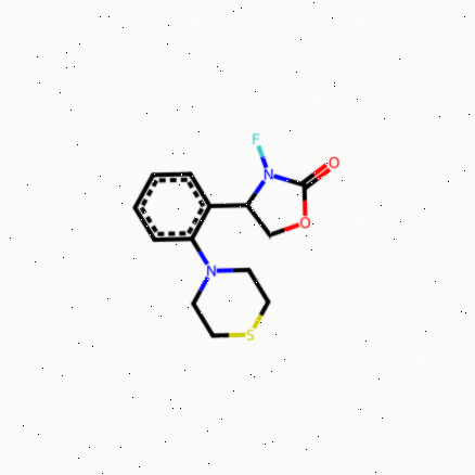 O=C1O[CH]C(c2ccccc2N2CCSCC2)N1F